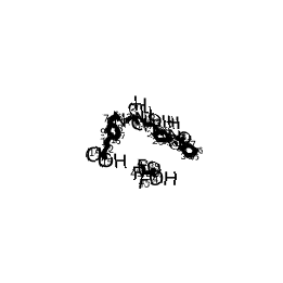 CC(C)(CCn1ccc2cc(/C=C/C(=O)O)ccc21)NC[C@H](O)c1cccc(NS(=O)(=O)c2ccccc2)c1.O=C(O)C(F)(F)F